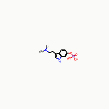 CCCN(CC)CCc1c[nH]c2cc(OP(=O)(O)O)ccc12